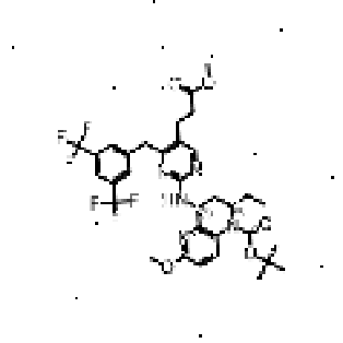 CC[C@@H]1C[C@H](Nc2ncc(CCC(=O)OC)c(Cc3cc(C(F)(F)F)cc(C(F)(F)F)c3)n2)c2nc(OC)ccc2N1C(=O)OC(C)(C)C